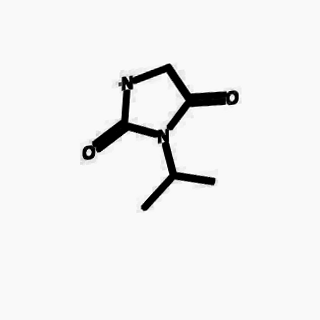 CC(C)N1C(=O)C[N]C1=O